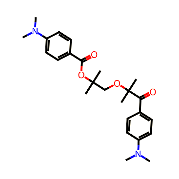 CN(C)c1ccc(C(=O)OC(C)(C)COC(C)(C)C(=O)c2ccc(N(C)C)cc2)cc1